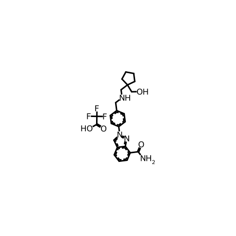 NC(=O)c1cccc2cn(-c3ccc(CNCC4(CO)CCCC4)cc3)nc12.O=C(O)C(F)(F)F